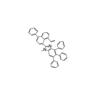 C=Cc1cccc2c(-c3ccccc3)ccc(-c3nc4c(-c5ccccc5)c(-c5ccccc5)c(-c5ccccc5)cc4n3C)c12